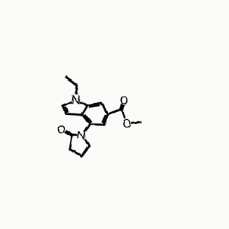 CCn1ccc2c(N3CCCC3=O)cc(C(=O)OC)cc21